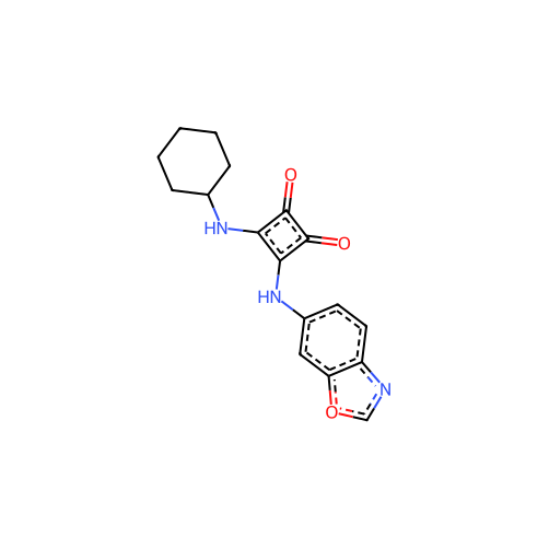 O=c1c(Nc2ccc3ncoc3c2)c(NC2CCCCC2)c1=O